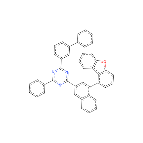 c1ccc(-c2cccc(-c3nc(-c4ccccc4)nc(-c4cc(-c5cccc6oc7ccccc7c56)c5ccccc5c4)n3)c2)cc1